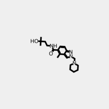 Cc1c(C(=O)NCCC(C)(C)O)ccc2nn(CN3CCCCC3)cc12